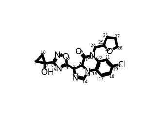 O=C1C2C(c3nc(C4(O)CC4)no3)N=CN2c2ccc(Cl)cc2N1CC1CCCO1